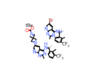 Cc1nc(N[C@H](C)c2cccc(C(F)(F)F)c2C)c2cc(Br)cnc2n1.Cc1nc(N[C@H](C)c2cccc(C(F)(F)F)c2C)c2cc(N3CC4(CN(C(=O)OC(C)(C)C)C4)C3)cnc2n1